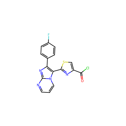 O=C(Cl)c1csc(-c2c(-c3ccc(F)cc3)nc3ncccn23)n1